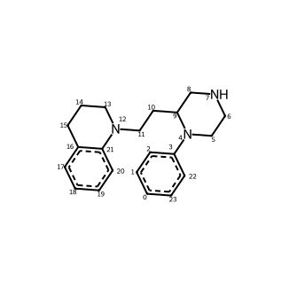 c1ccc(N2CCNCC2CCN2CCCc3ccccc32)cc1